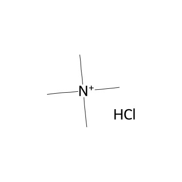 C[N+](C)(C)C.Cl